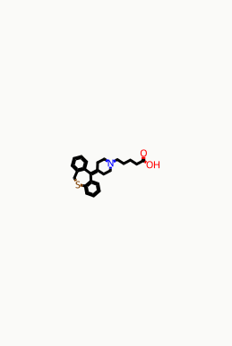 O=C(O)CCCCN1CCC(=C2c3ccccc3CSc3ccccc32)CC1